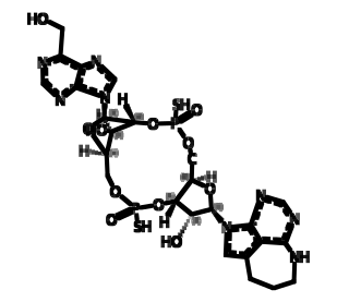 O=P1(S)OC[C@H]2O[C@@H](n3cc4c5c(ncnc53)NCCC4)[C@H](O)[C@@H]2OP(=O)(S)OC[C@H]2O[C@@H](n3cnc4c(CO)ncnc43)[C@H](O1)[C@@H]2O